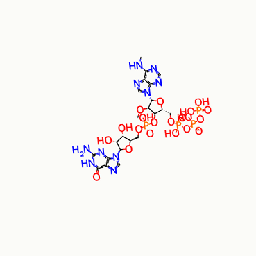 CNc1ncnc2c1ncn2[C@@H]1O[C@H](COP(=O)(O)OP(=O)(O)OP(=O)(O)O)[C@@H](OP(=O)(O)OC[C@H]2O[C@@H](n3cnc4c(=O)[nH]c(N)nc43)[C@H](O)[C@@H]2O)[C@H]1OC